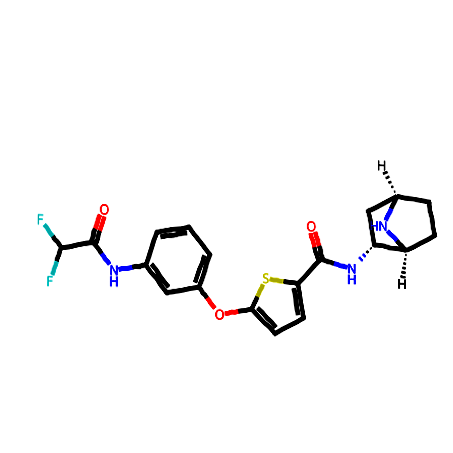 O=C(N[C@@H]1C[C@H]2CC[C@@H]1N2)c1ccc(Oc2cccc(NC(=O)C(F)F)c2)s1